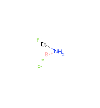 CCN.[B+3].[F-].[F-].[F-]